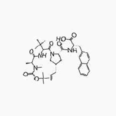 C=CC[C@H]1C[C@@H](C(=O)N[C@@H](Cc2ccc3ccccc3c2)C(=O)O)N(C(=O)[C@@H](NC(=O)[C@H](C)N(C)C(=O)OC(C)(C)C)C(C)(C)C)C1